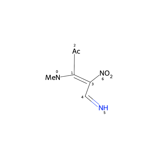 CN/C(C(C)=O)=C(\C=N)[N+](=O)[O-]